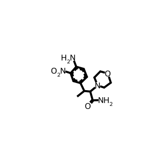 CC(c1ccc(N)c([N+](=O)[O-])c1)C(C(N)=O)N1CCOCC1